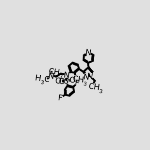 CCn1cc(-c2ccncc2)c(-c2cccc(N(CC(=O)N(C)C)S(=O)(=O)c3cc(F)ccc3F)c2C)n1